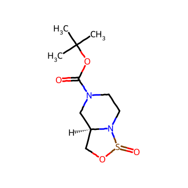 CC(C)(C)OC(=O)N1CCN2[C@@H](COS2=O)C1